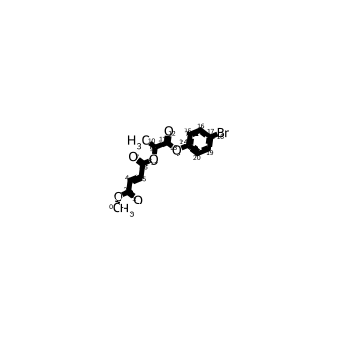 COC(=O)C=CC(=O)OC(C)C(=O)Oc1ccc(Br)cc1